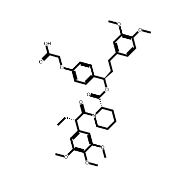 CC[C@H](C(=O)N1CCCC[C@H]1C(=O)O[C@H](CCc1ccc(OC)c(OC)c1)c1ccc(OCC(=O)O)cc1)c1cc(OC)c(OC)c(OC)c1